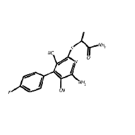 CC(Sc1nc(N)c(C#N)c(-c2ccc(F)cc2)c1C#N)C(N)=O